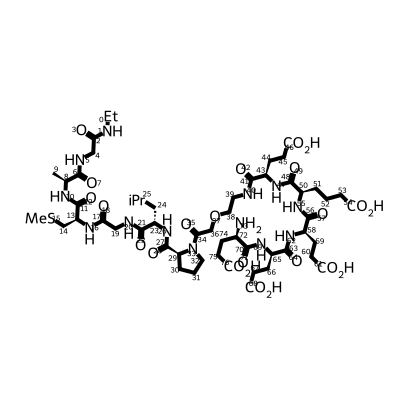 CCNC(=O)CNC(=O)[C@H](C)NC(=O)[C@H](CSC)NC(=O)CNC(=O)[C@H](CC(C)C)NC(=O)[C@@H]1CCCN1C(=O)COCCNC(=O)[C@@H](CCC(=O)O)NC(=O)[C@@H](CCCC(=O)O)NC(=O)[C@@H](CCC(=O)O)NC(=O)[C@@H](CCC(=O)O)NC(=O)[C@H](N)CCC(=O)O